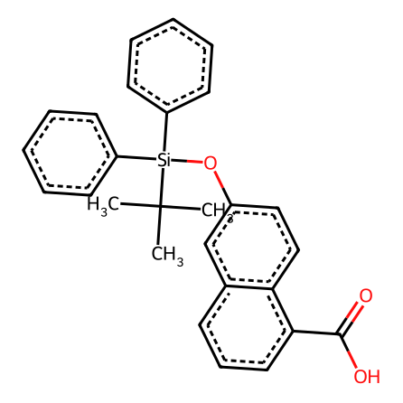 CC(C)(C)[Si](Oc1ccc2c(C(=O)O)cccc2c1)(c1ccccc1)c1ccccc1